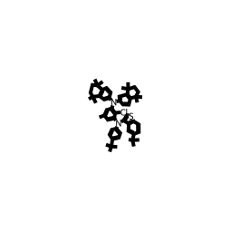 Cc1cc(N(c2ccc3c(c2)C(C)(C)CCC3(C)C)c2ccc3c(c2)C(C)(C)CCC3(C)C)c(Cl)c(N(c2ccc(C(C)(C)C)cc2)c2csc3ccc(C(C)(C)C)cc23)c1